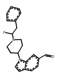 O=Cc1ccc2ccn(C3CCN(C(F)Cc4ccccc4)CC3)c2c1